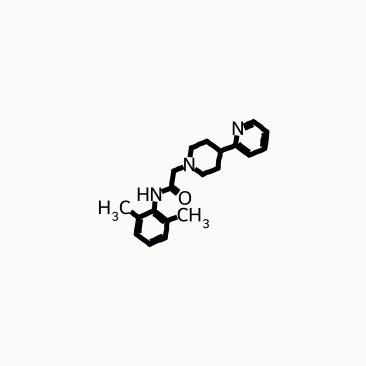 Cc1cccc(C)c1NC(=O)CN1CCC(c2ccccn2)CC1